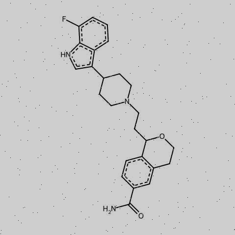 NC(=O)c1ccc2c(c1)CCOC2CCN1CCC(c2c[nH]c3c(F)cccc23)CC1